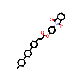 CC1CCC(C2CCC(c3ccc(/C=C/C(=O)Oc4ccc(N5C(=O)C6CC=CCC6C5=O)cc4)cc3)CC2)CC1